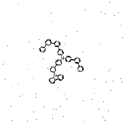 c1ccc(-c2cccc(-c3ccc(N(c4ccc(-c5cccc(-c6cccc(-c7ccccc7)c6)c5)cc4)c4ccc(-c5cccc(-n6c7ccccc7c7ccccc76)c5)cc4)cc3)c2)cc1